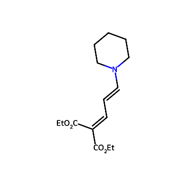 CCOC(=O)C(=C/C=C/N1CCCCC1)C(=O)OCC